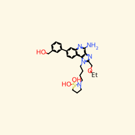 CCOCc1nc2c(N)nc3cc(-c4cccc(CO)c4)ccc3c2n1CCCCN1CCCS1(O)O